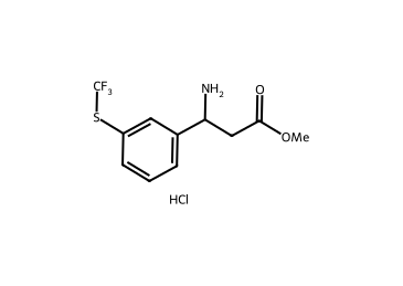 COC(=O)CC(N)c1cccc(SC(F)(F)F)c1.Cl